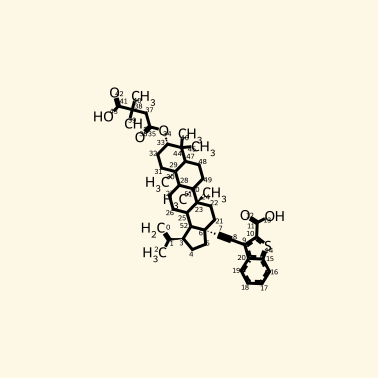 C=C(C)[C@@H]1CC[C@]2(C#Cc3c(C(=O)O)sc4ccccc34)CC[C@]3(C)C(CCC4[C@@]5(C)CC[C@H](OC(=O)CC(C)(C)C(=O)O)C(C)(C)C5CC[C@]43C)C12